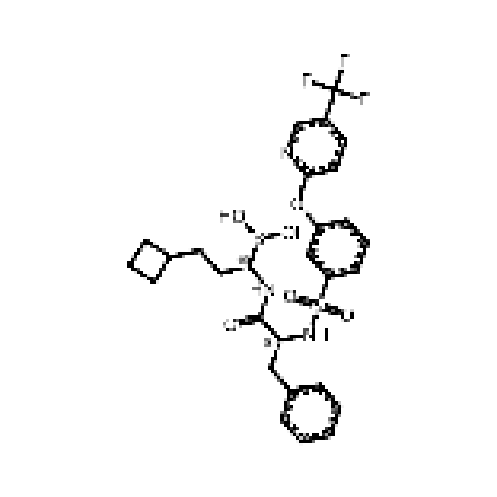 O=C(N[C@@H](CCC1CCC1)B(O)O)[C@H](Cc1ccccc1)NS(=O)(=O)c1cccc(Oc2ccc(C(F)(F)F)cn2)c1